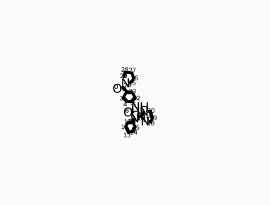 O=C(c1ccc(NC(=O)N(c2ccccc2)N2N=CC=CN2)cc1)N1CCCCC1